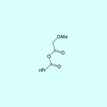 CCCC(=O)OC(=O)COC